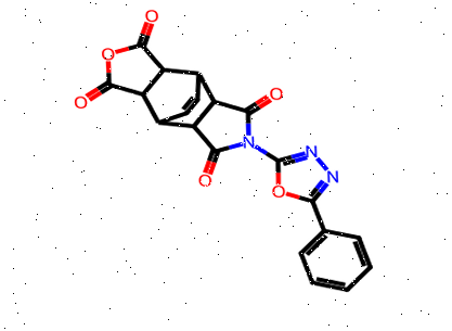 O=C1OC(=O)C2C3C=CC(C12)C1C(=O)N(c2nnc(-c4ccccc4)o2)C(=O)C31